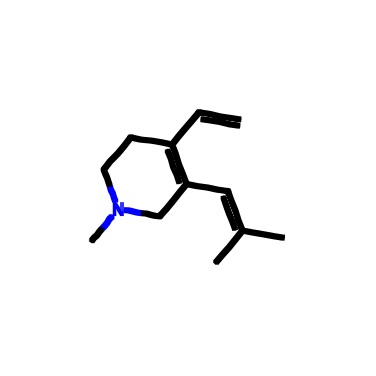 C=CC1=C(C=C(C)C)CN(C)CC1